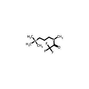 CN(CCC[N+](C)(C)C)C(=O)C(F)(F)F